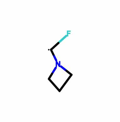 F[CH]N1CCC1